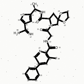 C[C@@H](NC(=O)C1CC2(CN1C(=O)CNC(=O)c1ncc(-c3ccccc3)cc1F)OCCO2)c1cc(C(=N)N)cs1